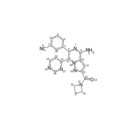 N#Cc1cccc(-c2nc(N)c3cc(C(=O)N4CCC4)nn3c2-c2ccncn2)c1